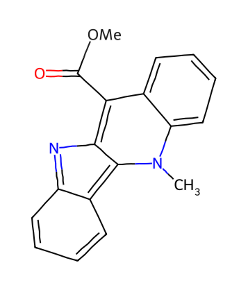 COC(=O)c1c2nc3ccccc3c-2n(C)c2ccccc12